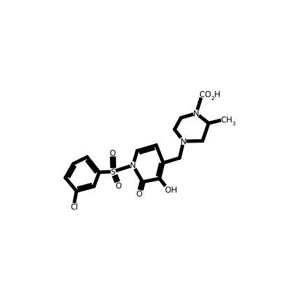 CC1CN(Cc2ccn(S(=O)(=O)c3cccc(Cl)c3)c(=O)c2O)CCN1C(=O)O